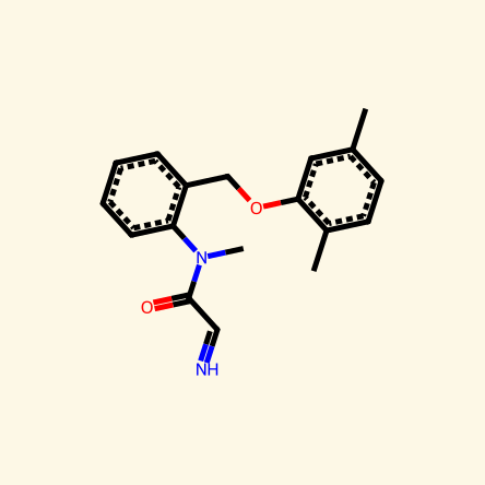 Cc1ccc(C)c(OCc2ccccc2N(C)C(=O)C=N)c1